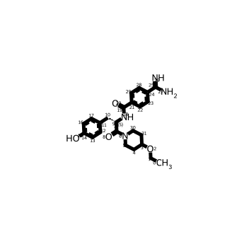 CCOC1CCN(C(=O)[C@H](Cc2ccc(O)cc2)NC(=O)c2ccc(C(=N)N)cc2)CC1